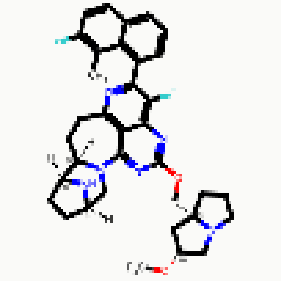 Cc1c(F)ccc2cccc(-c3nc4c5c(nc(OC[C@]67CCCN6C[C@H](OC(F)(F)F)C7)nc5c3F)N3C[C@H]5CC[C@H](N5)[C@H]3CC4)c12